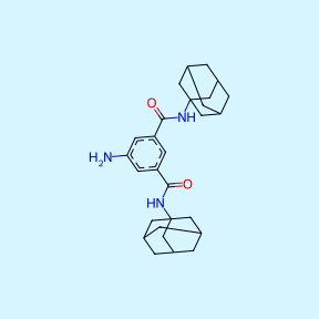 Nc1cc(C(=O)NC23CC4CC(CC(C4)C2)C3)cc(C(=O)NC23CC4CC(CC(C4)C2)C3)c1